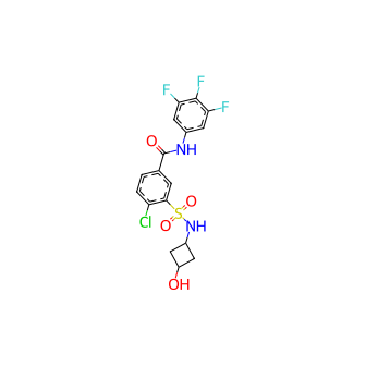 O=C(Nc1cc(F)c(F)c(F)c1)c1ccc(Cl)c(S(=O)(=O)NC2CC(O)C2)c1